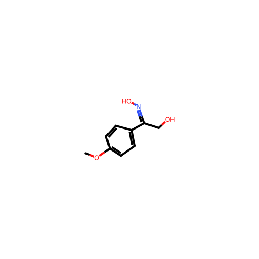 COc1ccc(/C(CO)=N\O)cc1